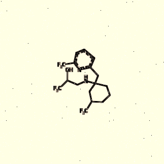 OC(CNC1(Cc2cccc(C(F)(F)F)n2)CCCC(C(F)(F)F)C1)C(F)(F)F